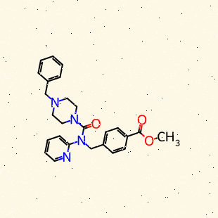 COC(=O)c1ccc(CN(C(=O)N2CCN(Cc3ccccc3)CC2)c2ccccn2)cc1